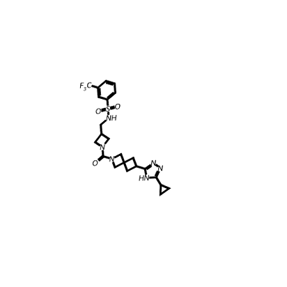 O=C(N1CC(CNS(=O)(=O)c2cccc(C(F)(F)F)c2)C1)N1CC2(CC(c3nnc(C4CC4)[nH]3)C2)C1